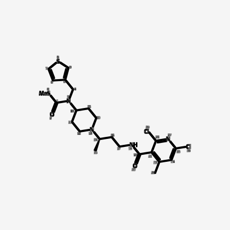 CSC(=O)N(Cc1ccsc1)C1CCN([C@H](C)CCNC(=O)c2c(C)cc(Cl)nc2Cl)CC1